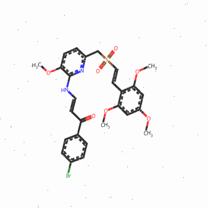 COc1cc(OC)c(C=CS(=O)(=O)Cc2ccc(OC)c(NC=CC(=O)c3ccc(Br)cc3)n2)c(OC)c1